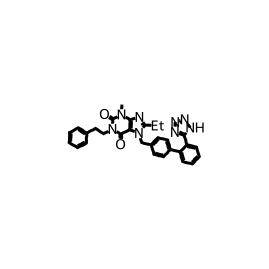 CCc1nc2c(c(=O)n(CCc3ccccc3)c(=O)n2C)n1Cc1ccc(-c2ccccc2-c2nnn[nH]2)cc1